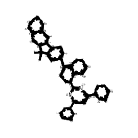 CC1(C)c2cc(-c3ccc(-c4nc(-c5ccccc5)cc(-c5ccccc5)n4)c4ccccc34)ccc2-c2cc3ccccc3cc21